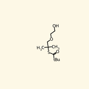 CC(C)(COCCO)SC(=O)C(C)(C)C